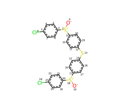 [O-][S+](c1ccc(Cl)cc1)c1ccc(Sc2ccc([S+]([O-])c3ccc(Cl)cc3)cc2)cc1